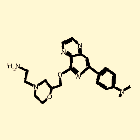 CN(C)c1ccc(-c2cc3nccnc3c(OCC3CN(CCN)CCO3)n2)cc1